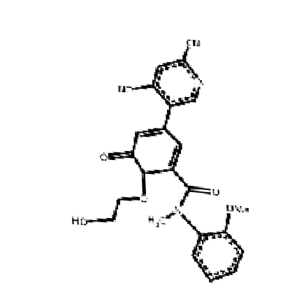 COc1ccccc1N(C)C(=O)C1=CC(c2cnc(C#N)cc2C#N)=CC(=O)C1OCCO